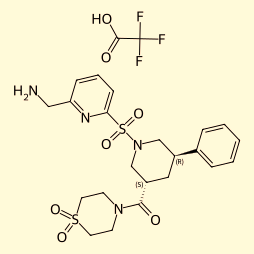 NCc1cccc(S(=O)(=O)N2C[C@@H](C(=O)N3CCS(=O)(=O)CC3)C[C@H](c3ccccc3)C2)n1.O=C(O)C(F)(F)F